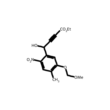 CCOC(=O)C#CC(O)c1cc(OCOC)c(C)cc1[N+](=O)[O-]